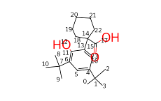 CC(C)(C)c1cc(C(C)(C)C)c(O)c(C2(C(=O)O)CCCCC2)c1